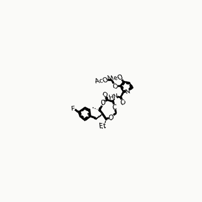 CC[C@H]1OCC[C@H](NC(=O)c2nccc(OC)c2OCOC(C)=O)C(=O)O[C@@H](C)[C@@H]1Cc1ccc(F)cc1